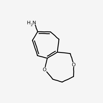 NC1=CCC2=C(C=C1)OCCCOC2